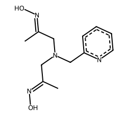 C/C(CN(C/C(C)=N/O)Cc1ccccn1)=N\O